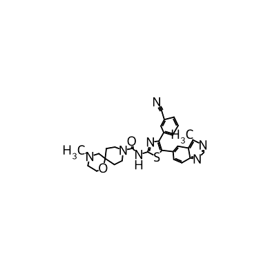 Cc1ncnc2ccc(-c3sc(NC(=O)N4CCC5(CC4)CN(C)CCO5)nc3-c3cccc(C#N)c3)cc12